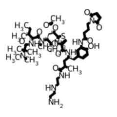 CC[C@H](C)[C@H](NC(=O)C(C)(C)N(C)C)C(=O)N(C)[C@H](C[C@@H](OC(C)=O)c1nc(C(=O)N[C@@H](Cc2ccc(O)c(NC(=O)CCCN3C(=O)C=CC3=O)c2)CC(C)C(=O)NCCNCCN)cs1)C(C)C